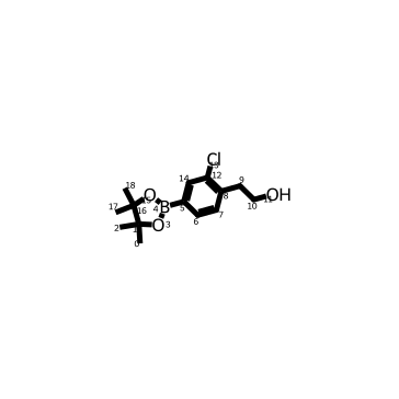 CC1(C)OB(c2ccc(CCO)c(Cl)c2)OC1(C)C